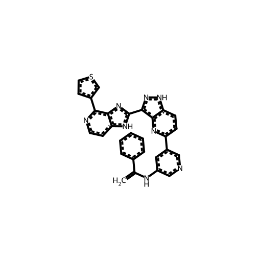 C=C(Nc1cncc(-c2ccc3[nH]nc(-c4nc5c(-c6ccsc6)nccc5[nH]4)c3n2)c1)c1ccccc1